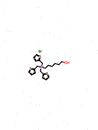 OCCCCCC[P+](Cc1cccs1)(Cc1cccs1)Cc1cccs1.[Br-]